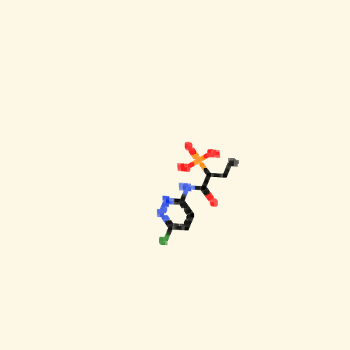 CC(C)CC(C(=O)Nc1ccc(Cl)nn1)P(=O)(O)O